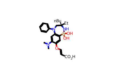 CCCC[C@]1(CC)CN(c2ccccc2)c2cc(N(C)C)c(O/C=C/C(=O)O)cc2S(O)(O)N1